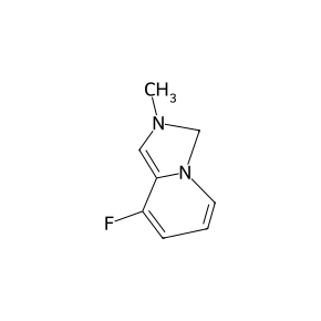 CN1C=C2C(F)=CC=CN2C1